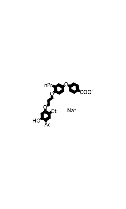 CCCc1cc(Oc2ccc(C(=O)[O-])cc2)ccc1OCCCOc1cc(O)c(C(C)=O)cc1CC.[Na+]